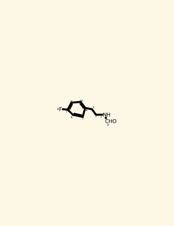 O=CNCCc1ccc(F)cc1